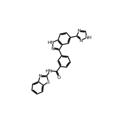 O=C(Nc1nc2ccccc2s1)c1cccc(-c2n[nH]c3ccc(-c4nc[nH]n4)cc23)c1